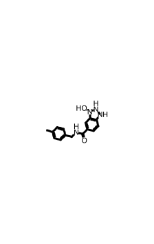 Cc1ccc(CNC(=O)c2ccc3c(c2)N(O)NN3)cc1